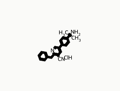 CC(C)(N)c1ccc(-c2cnc(Cc3ccccc3)c(C#N)c2)cc1.Cl